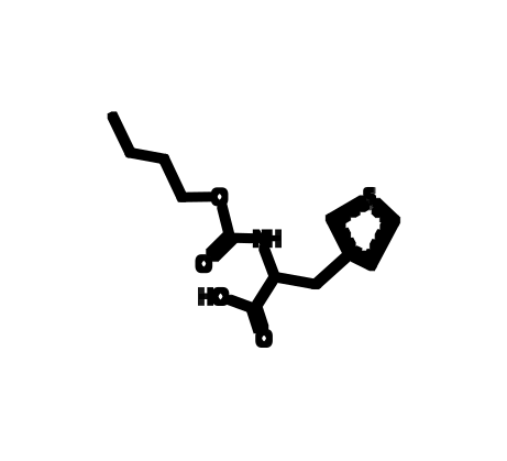 CCCCOC(=O)NC(Cc1ccsc1)C(=O)O